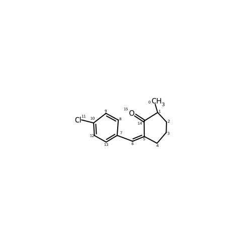 CC1CCCC(=Cc2ccc(Cl)cc2)C1=O